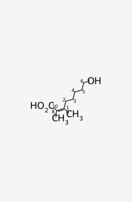 CC(CCCCCO)=C(C)C(=O)O